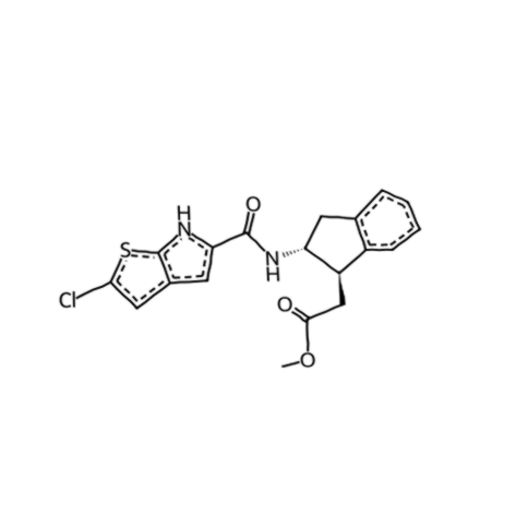 COC(=O)C[C@@H]1c2ccccc2C[C@H]1NC(=O)c1cc2cc(Cl)sc2[nH]1